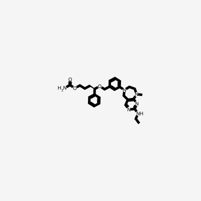 CCNc1ncc2c(n1)N(C)CCN(c1cccc(CO[C@H](CCCOC(N)=O)c3ccccc3)c1)C2